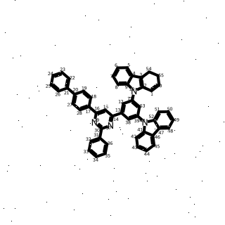 C1=Cc2c(c3ccccc3n2-c2cc(-c3cc(-c4ccc(-c5ccccc5)cc4)nc(-c4ccccc4)n3)cc(-n3c4ccccc4c4ccccc43)c2)CC1